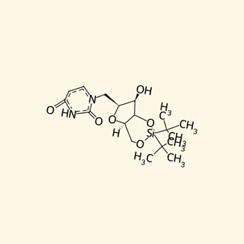 CC(C)(C)[Si]1(C(C)(C)C)OC[C@H]2O[C@@H](Cn3ccc(=O)[nH]c3=O)[C@@H](O)C2O1